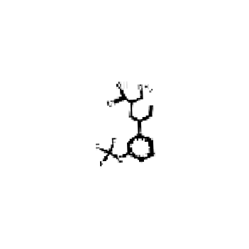 CCC(CC(CN)C(=O)O)c1cccc(OC(F)(F)F)c1